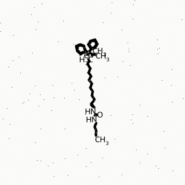 CCCCCNC(=O)NC=CCCCCCCCCCCCO[Si](c1ccccc1)(c1ccccc1)C(C)(C)C